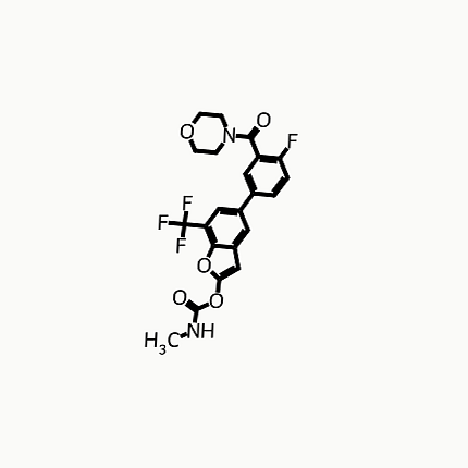 CNC(=O)Oc1cc2cc(-c3ccc(F)c(C(=O)N4CCOCC4)c3)cc(C(F)(F)F)c2o1